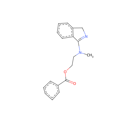 CN(CCOC(=O)c1ccccc1)C1=NCc2ccccc21